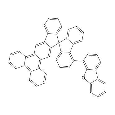 c1ccc2c(c1)-c1cc3c4ccccc4c4ccccc4c3cc1C21c2ccccc2-c2c(-c3cccc4c3oc3ccccc34)cccc21